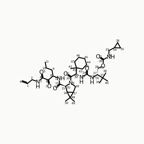 C=CCNC(=O)C(=O)C(CCC)NC(=O)[C@@H]1C2C(CN1C(=O)[C@@H](NC(=O)N[C@H](COC(=O)NCC1CC1)C(C)(C)C)C1(C)CCCCC1)C2(C)C